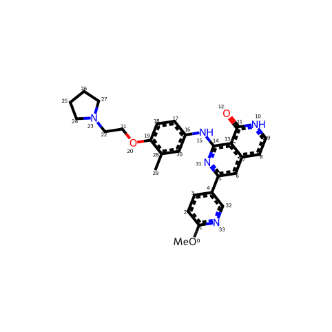 COc1ccc(-c2cc3cc[nH]c(=O)c3c(Nc3ccc(OCCN4CCCC4)c(C)c3)n2)cn1